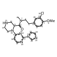 COc1ccc(CCN(C)C(=O)C2CNCCN2c2ccnc(-n3ccnc3)n2)cc1Cl